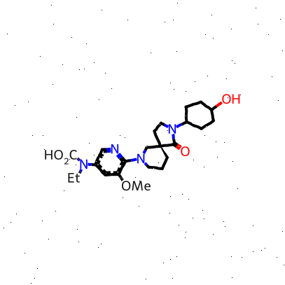 CCN(C(=O)O)c1cnc(N2CCC[C@]3(CCN(C4CCC(O)CC4)C3=O)C2)c(OC)c1